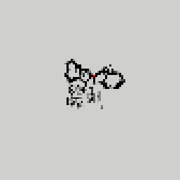 Br.Br.C[CH2][Hf](=[SiH2])([CH2]C)([CH]1C(C)=Cc2ccccc21)[CH]1C(C)=Cc2ccccc21